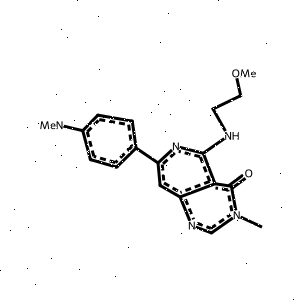 CNc1ccc(-c2cc3ncn(C)c(=O)c3c(NCCOC)n2)cc1